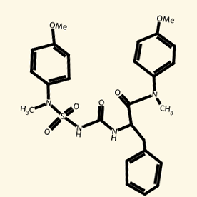 COc1ccc(N(C)C(=O)C(Cc2ccccc2)NC(=O)NS(=O)(=O)N(C)c2ccc(OC)cc2)cc1